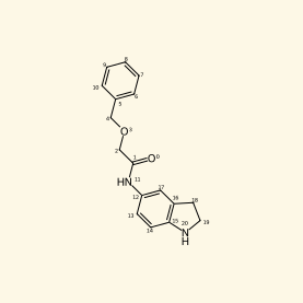 O=C(COCc1ccccc1)Nc1ccc2c(c1)CCN2